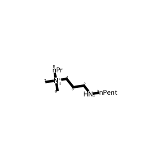 CCCCCNCCC[N+](C)(C)CCC